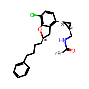 CCCC(=O)NC[C@@H]1C[C@H]1c1ccc(Cl)c2c1C[C@@H](CCCCc1ccccc1)O2